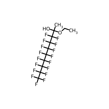 CCOC(C)(O)C(F)(F)C(F)(F)C(F)(F)C(F)(F)C(F)(F)C(F)(F)C(F)(F)C(F)(F)F